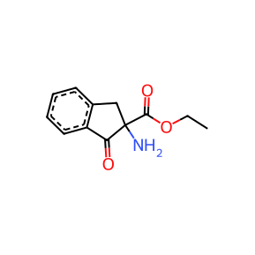 CCOC(=O)C1(N)Cc2ccccc2C1=O